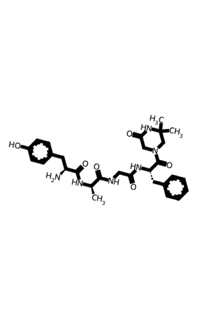 C[C@@H](NC(=O)[C@@H](N)Cc1ccc(O)cc1)C(=O)NCC(=O)N[C@@H](Cc1ccccc1)C(=O)N1CC(=O)NC(C)(C)C1